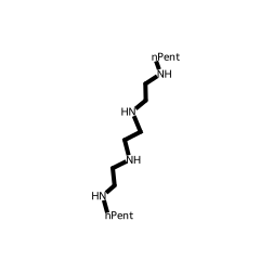 CCCCCNCCNCCNCCNCCCCC